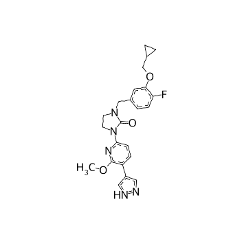 COc1nc(N2CCN(Cc3ccc(F)c(OCC4CC4)c3)C2=O)ccc1-c1cn[nH]c1